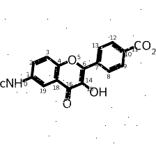 CC(=O)Nc1ccc2oc(-c3ccc(C(=O)O)cc3)c(O)c(=O)c2c1